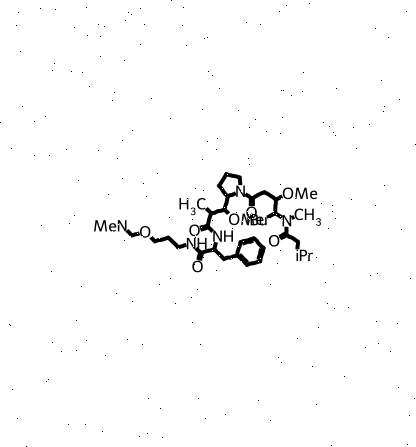 CCC(C)C(C(CC(=O)N1CCCC1C(OC)C(C)C(=O)NC(Cc1ccccc1)C(=O)NCCCOCNC)OC)N(C)C(=O)CC(C)C